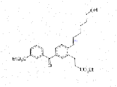 CCOC(=O)CCc1cc(C(=O)c2cccc(C(=O)OCC)c2)ccc1/C=C/CCCCO